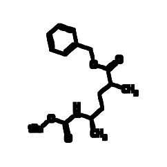 CC(CC[C@@H](C)NC(=O)OC(C)(C)C)C(=O)OCc1ccccc1